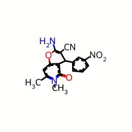 Cc1cc2c(c(=O)n1C)C(c1cccc([N+](=O)[O-])c1)C(C#N)=C(N)O2